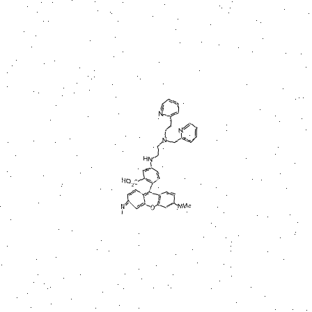 C/N=c1/ccc2c(-c3ccc(NCCN(CCc4ccccn4)Cc4ccccn4)cc3C(=O)O)c3ccc(NC)cc3oc-2c1